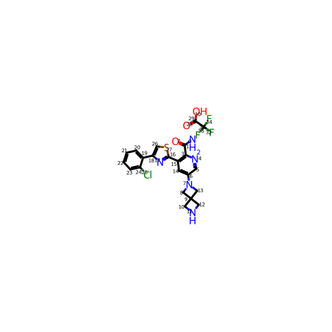 NC(=O)c1ncc(N2CC3(CNC3)C2)cc1-c1nc(-c2ccccc2Cl)cs1.O=C(O)C(F)(F)F